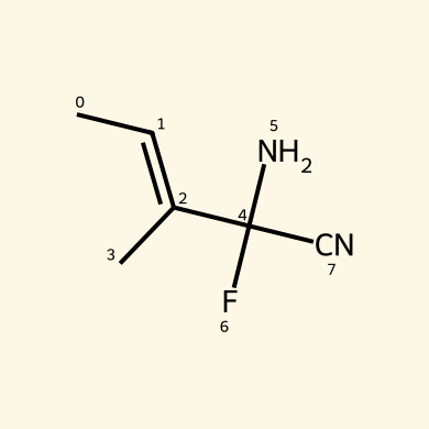 CC=C(C)C(N)(F)C#N